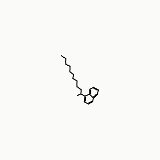 CCCCCCCCCCC(C)c1cccc2ccccc12